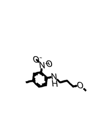 COCCCNc1ccc(C)cc1[N+](=O)[O-]